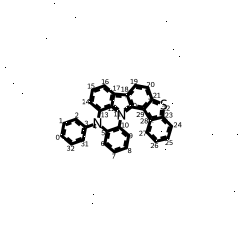 c1ccc(N2c3ccccc3-n3c4c2cccc4c2ccc4sc5ccccc5c4c23)cc1